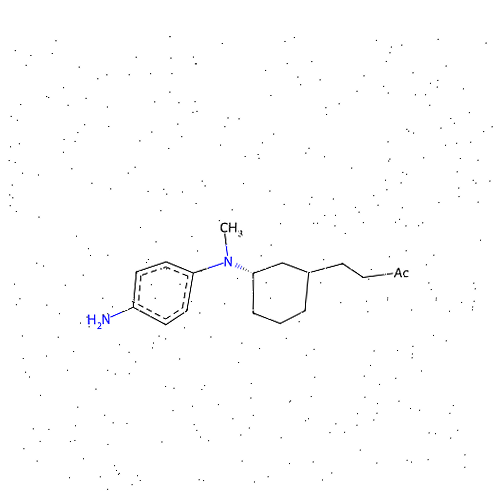 CC(=O)CCC1CCC[C@H](N(C)c2ccc(N)cc2)C1